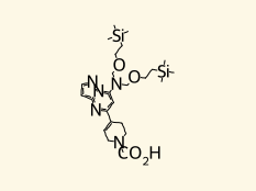 C[Si](C)(C)CCOCN(COCC[Si](C)(C)C)c1cc(C2=CCN(C(=O)O)CC2)nc2ccnn12